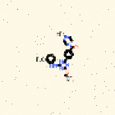 CCCN1CCN(C(=O)c2ccc(-c3nc(Nc4cccc(C(F)(F)F)c4)nc(OCC(F)(F)F)n3)cc2)CC1